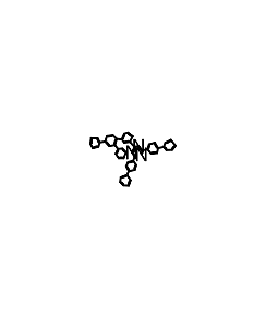 c1ccc(-c2ccc(-c3nc(-c4ccc(-c5ccccc5)cc4)nc(-c4cccc(-c5ccc(-c6ccccc6)cc5-c5ccccc5)c4)n3)cc2)cc1